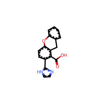 O=C(O)c1c(-c2ncc[nH]2)ccc2c1Cc1ccccc1O2